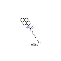 CCCCCCCC/C=C\CCCCCCCC(=O)Nc1ccc2ccc3cccc4ccc1c2c34